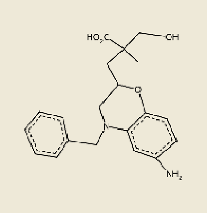 CC(CO)(CC1CN(Cc2ccccc2)c2cc(N)ccc2O1)C(=O)O